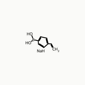 C=Cc1ccc(B(O)O)cc1.[NaH]